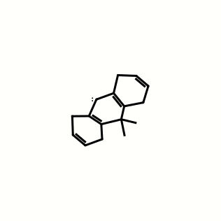 CC1(C)C2=C([C]C3=C1CC=CC3)CC=CC2